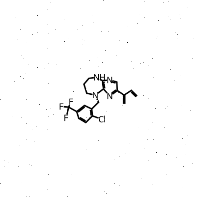 C=CC(=C)c1cnc2c(n1)N(Cc1cc(C(F)(F)F)ccc1Cl)CCCN2